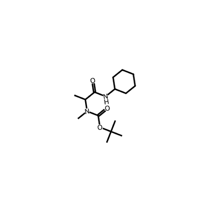 CC(C(=O)NC1CCCCC1)N(C)C(=O)OC(C)(C)C